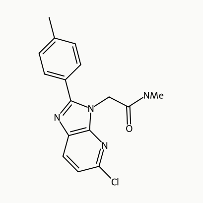 CNC(=O)Cn1c(-c2ccc(C)cc2)nc2ccc(Cl)nc21